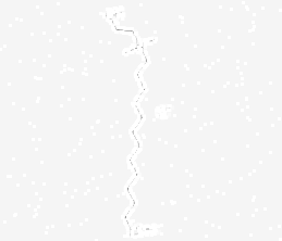 CCCCCCCCCCCCCCCCCCCCCC[N+](C)(C)CCO.[Cl-]